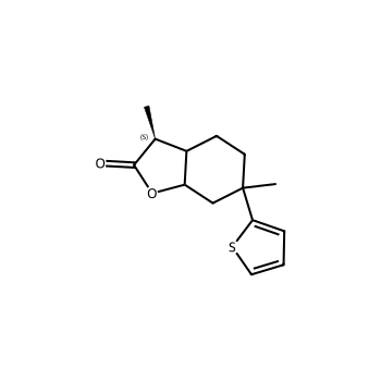 C[C@@H]1C(=O)OC2CC(C)(c3cccs3)CCC21